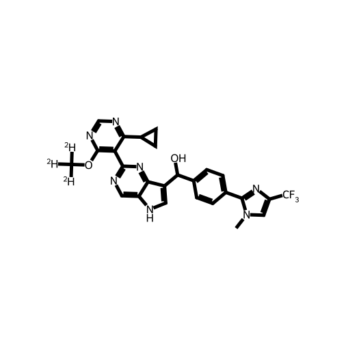 [2H]C([2H])([2H])Oc1ncnc(C2CC2)c1-c1ncc2[nH]cc(C(O)c3ccc(-c4nc(C(F)(F)F)cn4C)cc3)c2n1